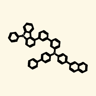 c1ccc(-c2ccc(N(c3ccc(-c4ccc5ccccc5c4)cc3)c3cccc(-c4cccc(-c5cccc6c5c5ccccc5n6-c5ccccc5)c4)c3)cc2)cc1